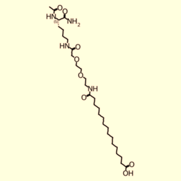 CC(=O)N[C@@H](CCCCNC(=O)COCCOCCNC(=O)CCCCCCCCCCCCCCC(=O)O)C(N)=O